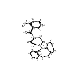 O=C(c1cnccc1Cl)N1CCN(C2c3ccccc3CCc3ccccc32)CC1